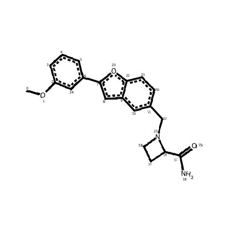 COc1cccc(-c2cc3cc(CN4CCC4C(N)=O)ccc3o2)c1